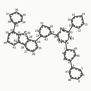 c1ccc(-c2ccc(-c3nc(-c4ccccc4)nc(-c4cccc(-c5cccc6c5sc5c(-c7ccccc7)cccc56)c4)n3)cc2)cc1